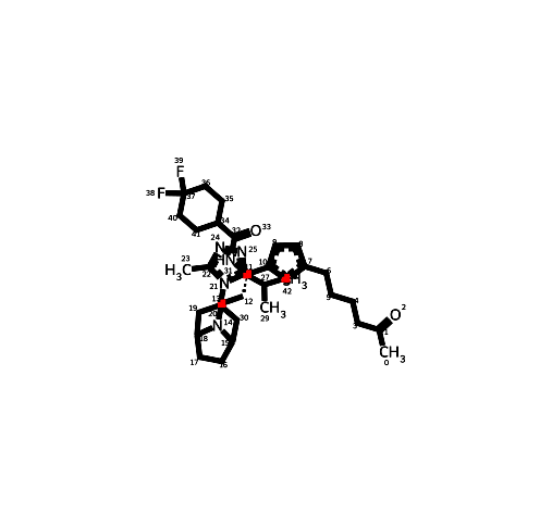 CC(=O)CCCCc1ccc([C@H](CCN2C3CCC2CC(n2c(C)nnc2C(C)C)C3)NC(=O)C2CCC(F)(F)CC2)s1